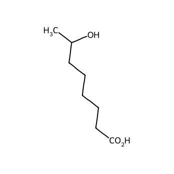 CC(O)CCCCCC(=O)O